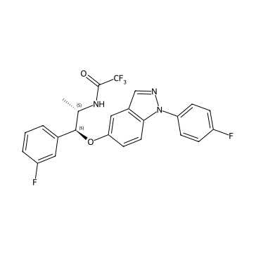 C[C@H](NC(=O)C(F)(F)F)[C@@H](Oc1ccc2c(cnn2-c2ccc(F)cc2)c1)c1cccc(F)c1